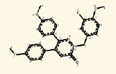 COc1ccc(-c2cc(=O)n(Cc3ccc(OC)c(F)c3)nc2-c2ccc(OC)cc2)cc1